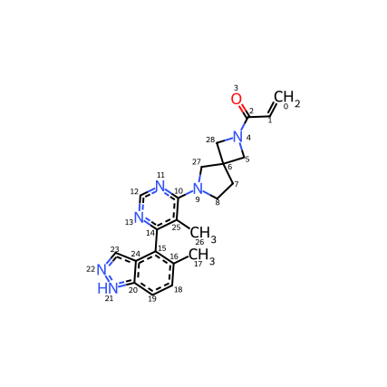 C=CC(=O)N1CC2(CCN(c3ncnc(-c4c(C)ccc5[nH]ncc45)c3C)C2)C1